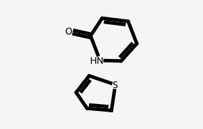 O=c1cccc[nH]1.c1ccsc1